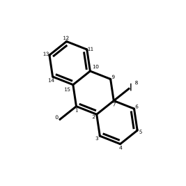 CC1=C2C=CC=CC2(I)Cc2ccccc21